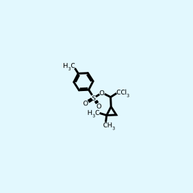 Cc1ccc(S(=O)(=O)OC(C2CC2(C)C)C(Cl)(Cl)Cl)cc1